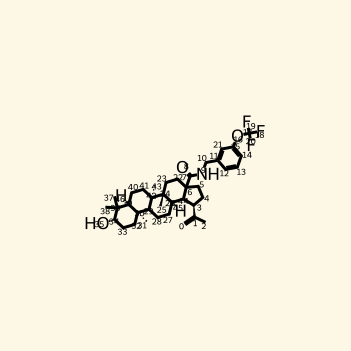 C=C(C)[C@@H]1CCC2(C(=O)NCc3cccc(OC(F)(F)F)c3)CC[C@]3(C)[C@H](CCC4[C@@]5(C)CC[C@H](O)C(C)(C)[C@@H]5CC[C@]43C)C12